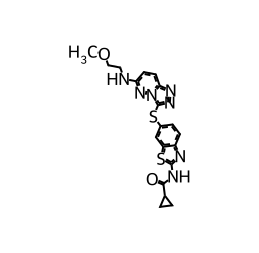 COCCNc1ccc2nnc(Sc3ccc4nc(NC(=O)C5CC5)sc4c3)n2n1